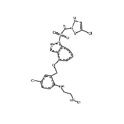 CCNCCNc1ccc(Cl)cc1COc1cccc2c1cnn2S(=O)(=O)NN1NC=C(Cl)S1